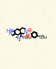 CCCC[C@H](N(C)C)C12Cc3cn[nH]c3C=C1CCN(S(=O)(=O)c1ccc(C(C)(C)C)cc1)C2